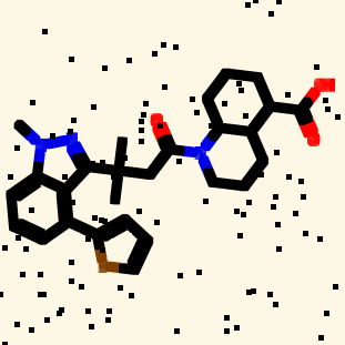 Cn1nc(C(C)(C)CC(=O)N2CCCC3C(C(=O)O)CCCC32)c2c(-c3cccs3)cccc21